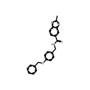 Cc1nc2ccc(C(=O)NCc3ccc(OCc4ccccc4)cc3)cc2s1